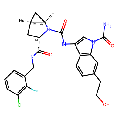 NC(=O)n1cc(NC(=O)N2[C@@H]3C[C@@H]3C[C@H]2C(=O)NCc2cccc(Cl)c2F)c2ccc(CCO)cc21